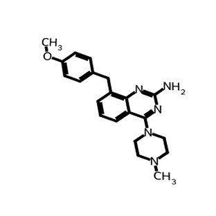 COc1ccc(Cc2cccc3c(N4CCN(C)CC4)nc(N)nc23)cc1